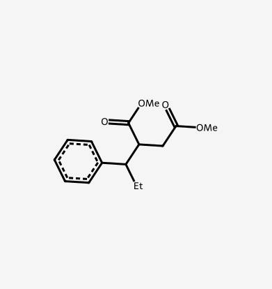 CCC(c1ccccc1)C(CC(=O)OC)C(=O)OC